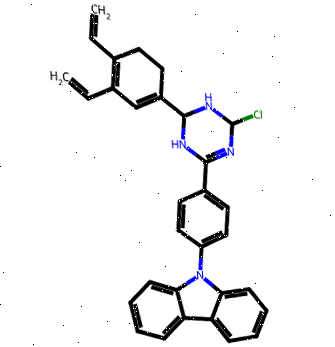 C=CC1=C(C=C)CCC(C2NC(c3ccc(-n4c5ccccc5c5ccccc54)cc3)=NC(Cl)N2)=C1